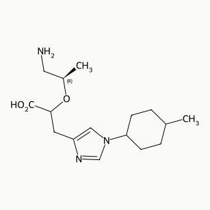 CC1CCC(n2cnc(CC(O[C@H](C)CN)C(=O)O)c2)CC1